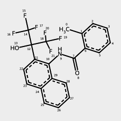 Cc1ccccc1C(=O)Nc1c(C(O)(C(F)(F)F)C(F)(F)F)ccc2ccccc12